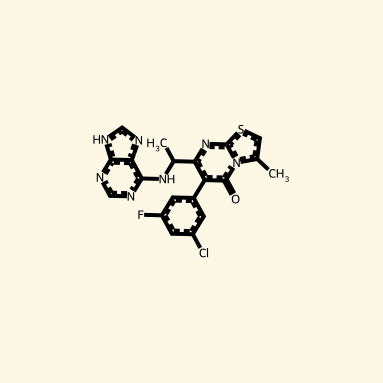 Cc1csc2nc(C(C)Nc3ncnc4[nH]cnc34)c(-c3cc(F)cc(Cl)c3)c(=O)n12